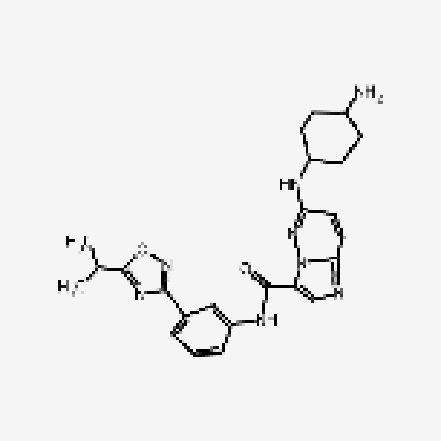 CC(C)c1nc(-c2cccc(NC(=O)c3cnc4ccc(NC5CCC(N)CC5)nn34)c2)no1